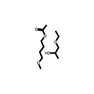 CCOCC(C)O.COCCCCOC(C)=O